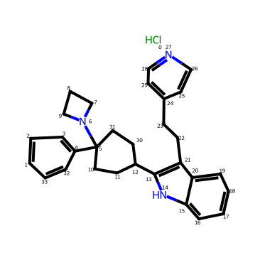 Cl.c1ccc(C2(N3CCC3)CCC(c3[nH]c4ccccc4c3CCc3ccncc3)CC2)cc1